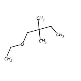 [CH2]COCC(C)(C)CC